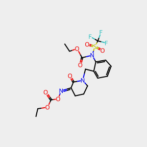 CCOC(=O)ON=C1CCCN(Cc2ccccc2N(C(=O)OCC)S(=O)(=O)C(F)(F)F)C1=O